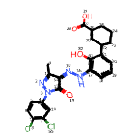 CC1=NN(c2ccc(Cl)c(Cl)c2)C(=O)C1=NNc1cccc(C2CCCC(C(=O)O)C2)c1O